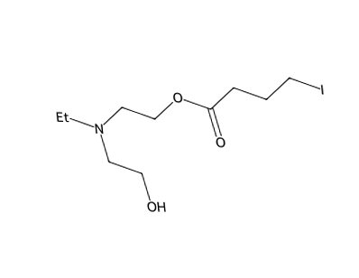 CCN(CCO)CCOC(=O)CCCI